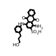 Nc1c(S(=O)(=O)O)cc(Nc2cccc(CCCO)c2)c2c1C(=O)c1ccccc1C2=O